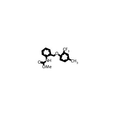 COC(=O)Nc1ccccc1COc1ccc(C)cc1C(F)(F)F